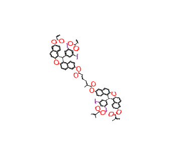 C=CC(=O)Oc1ccc2c3c(ccc2c1)Oc1ccc2cc(OC(=O)/C=C/C=C(\C)C(=O)Oc4ccc5c6c(ccc5c4)Oc4ccc5cc(OC(=O)C(=C)C)ccc5c4C6c4cc(I)c(OC(=O)C(=C)C)c(I)c4)ccc2c1C3c1cc(I)c(OC(=O)C=C)c(I)c1